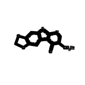 CCOC(=O)c1cnc2sc3cc4c(cc3n2c1=O)OCO4